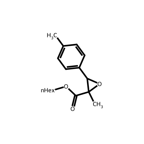 CCCCCCOC(=O)C1(C)OC1c1ccc(C)cc1